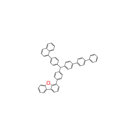 c1ccc(-c2ccc(-c3ccc(C(c4ccc(-c5cccc6ccccc56)cc4)c4ccc(-c5cccc6c5oc5ccccc56)cc4)cc3)cc2)cc1